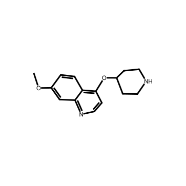 COc1ccc2c(OC3CCNCC3)ccnc2c1